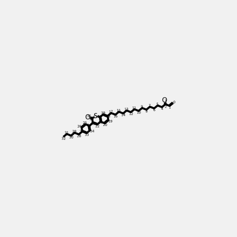 C=CC(=O)CCCCCCCCCCCCCCc1ccc2cc(-c3ccc(CCCCC)cc3)c(=O)sc2c1